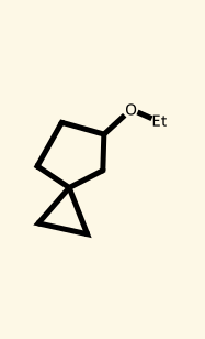 CCOC1CCC2(CC2)C1